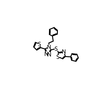 c1ccc(CCn2c(Sc3nc(-c4ccccc4)cs3)nnc2-c2cccs2)cc1